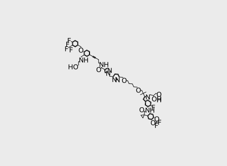 CC(C)(COCCCCCOCc1ccc(Cn2cc(C(=O)NCCC#Cc3ccc(OCc4ccc(F)c(C(F)(F)F)c4)c(CNCCO)c3)cn2)nn1)c1cc2cc(NC(=O)C3(c4ccc5c(c4)OC(F)(F)O5)CC3)c(F)cc2n1CC(O)CO